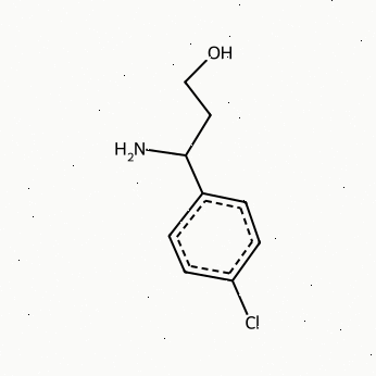 NC(CCO)c1ccc(Cl)cc1